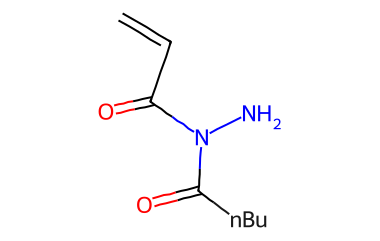 C=CC(=O)N(N)C(=O)CCCC